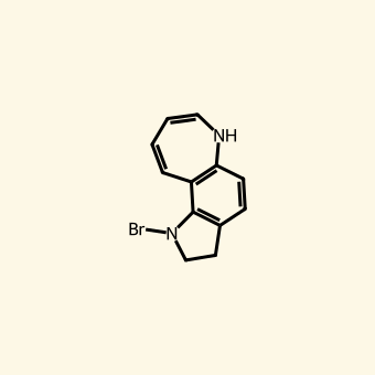 BrN1CCc2ccc3c(c21)C=CC=CN3